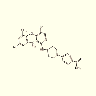 Cc1cc(C#N)cc(C)c1Oc1nc(NC2CCN(c3ccc(C(N)=O)cc3)CC2)ncc1Br